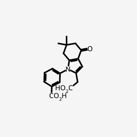 CC1(C)CC(=O)c2cc(CC(=O)O)n(-c3cccc(C(=O)O)c3)c2C1